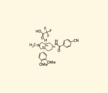 COc1ccc([C@@]23CC[C@@H](NC(=O)c4ccc(C#N)cc4)C[C@@H]2CN(C)C3)cc1OC.O=C(O)C(F)(F)F